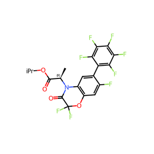 CC(C)OC(=O)[C@@H](C)N1C(=O)C(F)(F)Oc2cc(F)c(-c3c(F)c(F)c(F)c(F)c3F)cc21